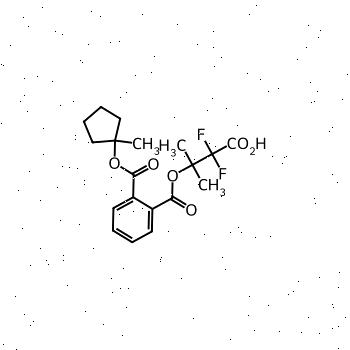 CC1(OC(=O)c2ccccc2C(=O)OC(C)(C)C(F)(F)C(=O)O)CCCC1